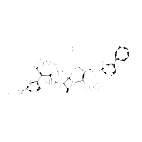 CO/N=C(\C(=O)N[C@@H]1C(=O)N2C(C(=O)[O-])=C(CSc3nc(-c4ccccc4)cs3)CS[C@H]12)c1csc(N)n1.[Na+]